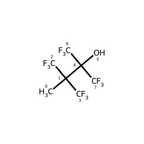 CC(C(F)(F)F)(C(F)(F)F)C(O)(C(F)(F)F)C(F)(F)F